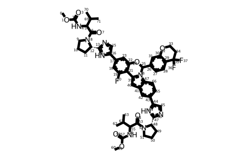 COC(=O)NC(C(=O)N1CCC[C@H]1c1ncc(-c2cc(F)c3c(c2)OC(c2ccc4c(c2)OCCC4(F)F)n2c-3cc3cc(-c4cnc([C@@H]5CCCN5C(=O)C(NC(=O)OC)C(C)C)[nH]4)ccc32)[nH]1)C(C)C